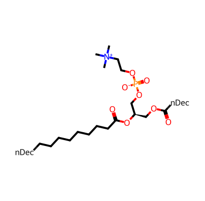 CCCCCCCCCCCCCCCCCCC(=O)O[C@H](COC(=O)CCCCCCCCCC)COP(=O)([O-])OCC[N+](C)(C)C